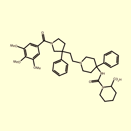 COc1cc(C(=O)N2CCC(CCN3CCC(NC(=O)N4CCCCC4C(=O)O)(c4ccccc4)CC3)(c3ccccc3)C2)cc(OC)c1OC